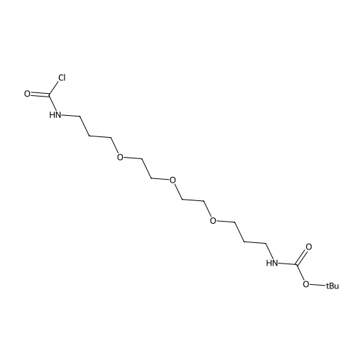 CC(C)(C)OC(=O)NCCCOCCOCCOCCCNC(=O)Cl